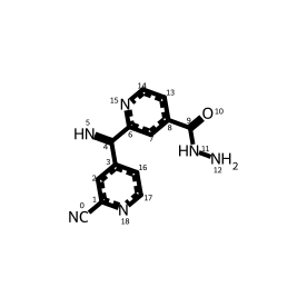 N#Cc1cc(C(=N)c2cc(C(=O)NN)ccn2)ccn1